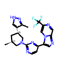 Cc1n[nH]cc1[C@H]1C[C@H](C)CN(c2nccc(-c3cnc4cnc(C(F)(F)F)cn34)n2)C1